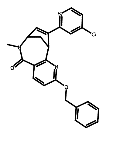 CN1C(=O)c2ccc(OCc3ccccc3)nc2C2CC1C=C2c1cc(Cl)ccn1